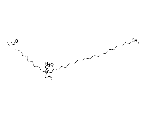 CCCCCCCCCCCCCCCCCCCCC(O)C[N+](C)(C)CCCCCCCCCC(=O)[O-]